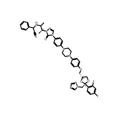 CC(NC(C#N)c1ccccc1)[C@H](C)n1ncn(-c2ccc(N3CCN(c4ccc(OC[C@@H]5CO[C@](Cn6cncn6)(c6ccc(F)cc6F)O5)cc4)CC3)cc2)c1=O